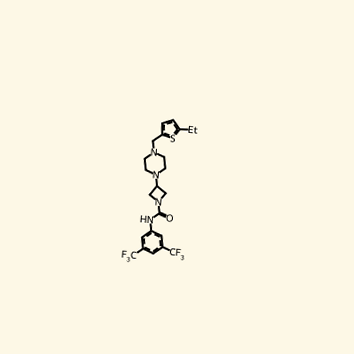 CCc1ccc(CN2CCN(C3CN(C(=O)Nc4cc(C(F)(F)F)cc(C(F)(F)F)c4)C3)CC2)s1